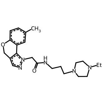 CCN1CCN(CCCNC(=O)Cn2ncc3c2-c2cc(C)ccc2OC3)CC1